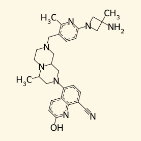 Cc1nc(N2CC(C)(N)C2)ccc1CN1CCN2C(C)CN(c3ccc(C#N)c4nc(O)ccc34)CC2C1